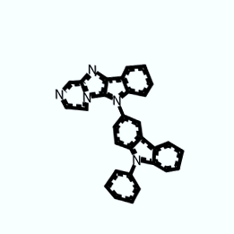 c1ccc(-n2c3ccccc3c3cc(-n4c5ccccc5c5nc6cnccn6c54)ccc32)cc1